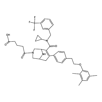 Cc1cc(C)c(C)c(OCCc2ccc(C3=C(C(=O)N(Cc4cccc(C(F)(F)F)c4)C4CC4)C4CN(C(=O)CCCC(=O)O)CC(C3)N4)cc2)c1